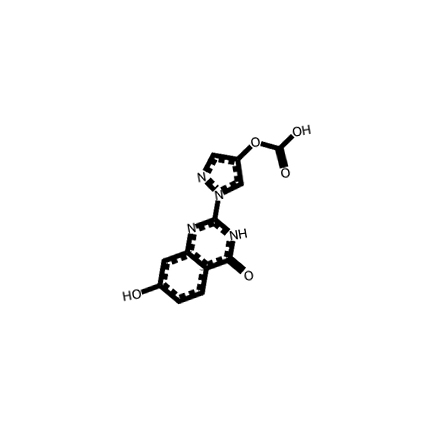 O=C(O)Oc1cnn(-c2nc3cc(O)ccc3c(=O)[nH]2)c1